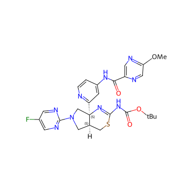 COc1cnc(C(=O)Nc2ccnc([C@@]34CN(c5ncc(F)cn5)C[C@@H]3CSC(NC(=O)OC(C)(C)C)=N4)c2)cn1